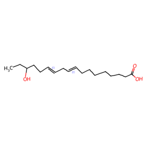 CCC(O)CC/C=C/C/C=C/CCCCCCCC(=O)O